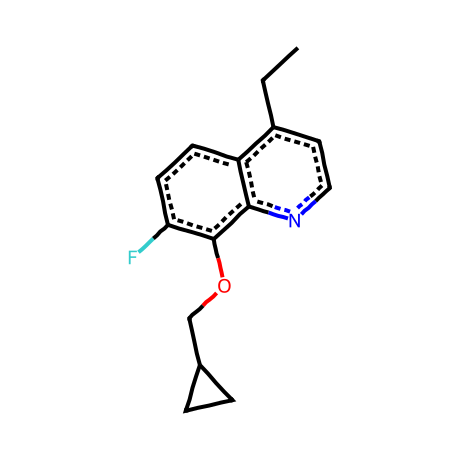 CCc1ccnc2c(OCC3CC3)c(F)ccc12